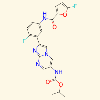 CC(C)OC(=O)Nc1cnc2nc(-c3cc(NC(=O)c4ccc(F)o4)ccc3F)cn2c1